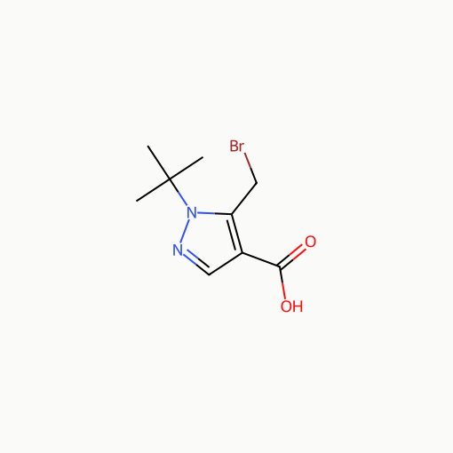 CC(C)(C)n1ncc(C(=O)O)c1CBr